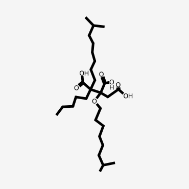 CCCCCC(CCCCCCC(C)C)(C(=O)O)C(CC(=O)O)(OCCCCCCC(C)C)C(=O)O